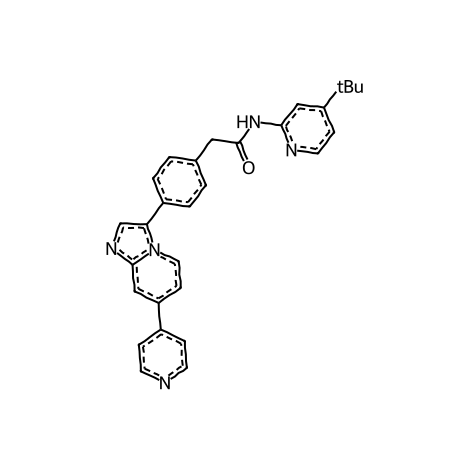 CC(C)(C)c1ccnc(NC(=O)Cc2ccc(-c3cnc4cc(-c5ccncc5)ccn34)cc2)c1